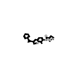 Cc1c(NC(=O)c2ccnn2C)ccc2cc(C3CC3c3ccccc3)cnc12